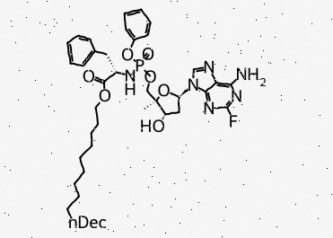 CCCCCCCCCCCCCCCCCCCOC(=O)[C@H](Cc1ccccc1)N[P@](=O)(OC[C@@]1(C)O[C@@H](n2cnc3c(N)nc(F)nc32)C[C@@H]1O)Oc1ccccc1